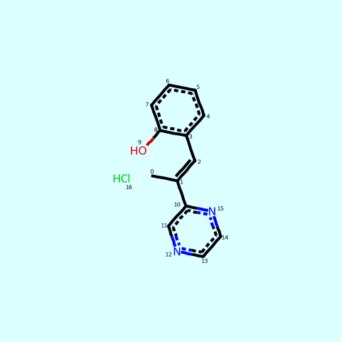 C/C(=C\c1ccccc1O)c1cnccn1.Cl